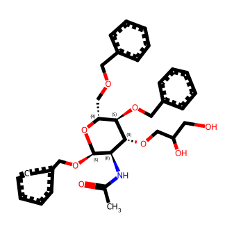 CC(=O)N[C@H]1[C@@H](OCc2ccccc2)O[C@H](COCc2ccccc2)[C@@H](OCc2ccccc2)[C@@H]1OCC(O)CO